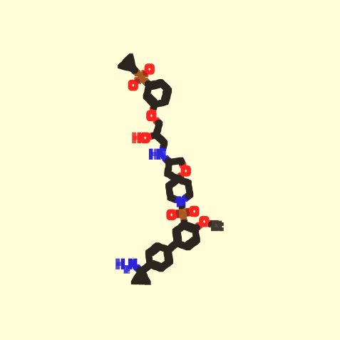 CCOc1ccc(-c2ccc(C3(N)CC3)cc2)cc1S(=O)(=O)N1CCC2(CC1)CC(NCC(O)COc1cccc(S(=O)(=O)C3CC3)c1)CO2